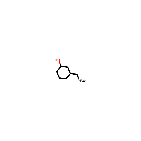 CNCC1CCCC(O)C1